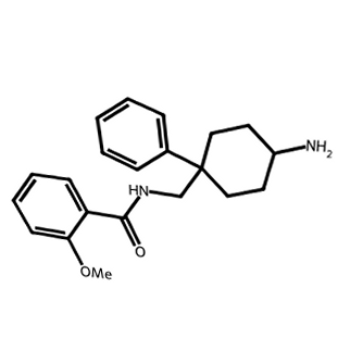 COc1ccccc1C(=O)NCC1(c2ccccc2)CCC(N)CC1